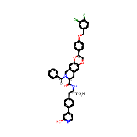 CC[C@@H](c1ccccc1)N1Cc2cc3c(cc2C[C@H]1C(=O)N[C@@H](Cc1ccc(-c2ccnc(O)c2)cc1)C(=O)O)OC[C@H](c1ccc(OCc2ccc(Cl)c(Cl)c2)cc1)O3